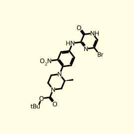 C[C@H]1CN(C(=O)OC(C)(C)C)CCN1c1ccc(Nc2nc(Br)c[nH]c2=O)cc1[N+](=O)[O-]